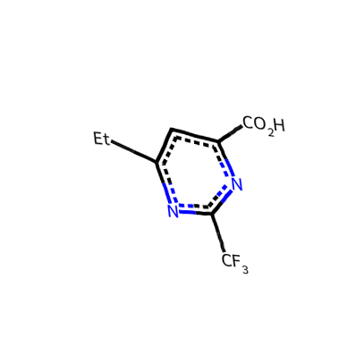 CCc1cc(C(=O)O)nc(C(F)(F)F)n1